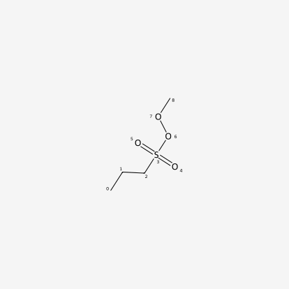 CCCS(=O)(=O)OOC